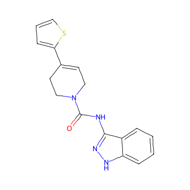 O=C(Nc1n[nH]c2ccccc12)N1CC=C(c2cccs2)CC1